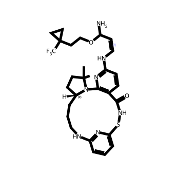 CC1(C)CC[C@H]2CCCNc3cccc(n3)SNC(=O)c3ccc(N/C=C\C(N)OCCC4(C(F)(F)F)CC4)nc3N21